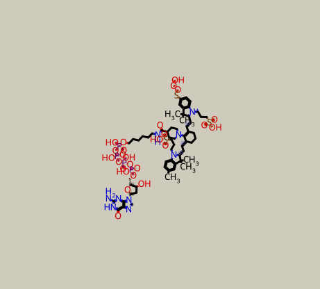 Cc1ccc2c(c1)C(C)(C)/C(=C/C=C1\CCCC(/C=C/C3=[N+](CCCS(=O)(=O)O)c4ccc(SOOO)cc4C3(C)C)=C1N1CCC(C(=O)NCCCCCCOP(=O)(O)OP(=O)(O)OP(=O)(O)OP(=O)(O)OC[C@H]3O[C@@H](n4cnc5c(=O)[nH]c(N)nc54)CC3O)CC1)N2CCCS(=O)(=O)O